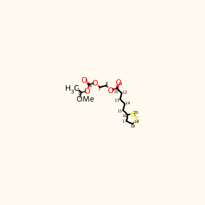 COC(C)OC(=O)OCCOC(=O)CCCCC1CCSS1